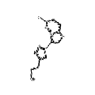 OCCc1cn(-c2cnc3ccc(Cl)nn23)nn1